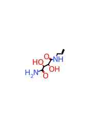 C=CCNC(=O)C(O)C(O)C(N)=O